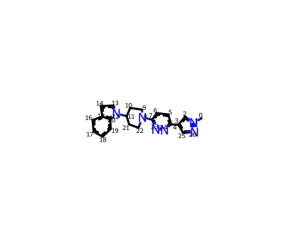 Cn1cc(-c2ccc(N3CCC(n4ccc5ccccc54)CC3)nn2)cn1